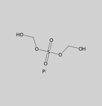 O=S(=O)(OCO)OCO.[P]